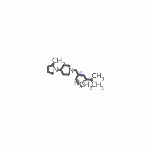 C=C1CCCN1C1CCN(CC(/C=C\C)=C/C(C)C(C)C)CC1